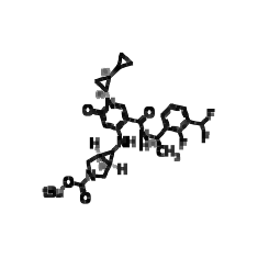 C[C@@H](NC(=O)c1cn([C@@H]2C[C@H]2C2CC2)c(=O)cc1NC1[C@H]2CN(C(=O)OC(C)(C)C)C[C@@H]12)c1cccc(C(F)F)c1F